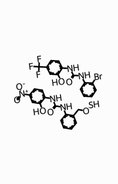 O=C(Nc1ccc(C(F)(F)F)cc1O)Nc1ccccc1Br.O=C(Nc1ccc([N+](=O)[O-])cc1O)Nc1ccccc1COS